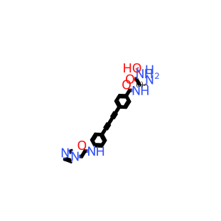 NC[C@H](NC(=O)c1ccc(C#CC#Cc2ccc(NC(=O)Cn3ccnc3)cc2)cc1)C(=O)NO